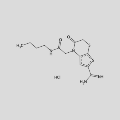 CCCCNC(=O)CN1C(=O)CSc2sc(C(=N)N)cc21.Cl